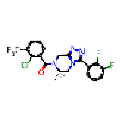 C[C@H]1Cn2c(nnc2-c2cccc(F)c2F)CN1C(=O)c1cccc(C(F)(F)F)c1Cl